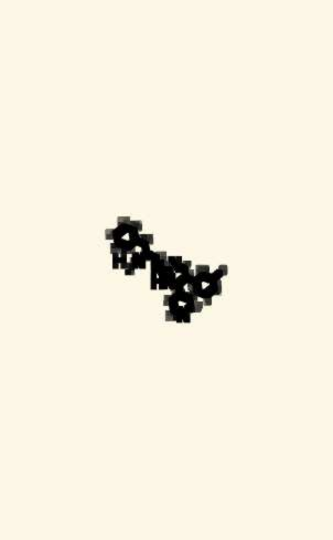 Cc1cccc(-c2cnc(NCC(N)Cc3ccccc3)nc2-c2ccncc2)c1